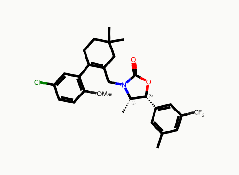 COc1ccc(Cl)cc1C1=C(CN2C(=O)O[C@H](c3cc(C)cc(C(F)(F)F)c3)[C@@H]2C)CC(C)(C)CC1